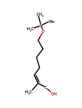 CC(=CCCCCO[Si](C)(C)C(C)(C)C)CO